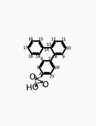 O=S(=O)(O)c1ccc(-c2ccccc2-c2ccccc2)cc1